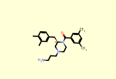 Cc1ccc(C[C@@H]2CN(CCCN)CCN2C(=O)c2cc(C(F)(F)F)cc(C(F)(F)F)c2)cc1C